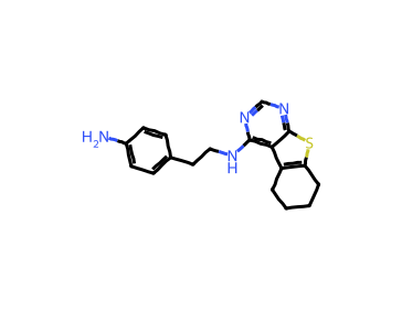 Nc1ccc(CCNc2ncnc3sc4c(c23)CCCC4)cc1